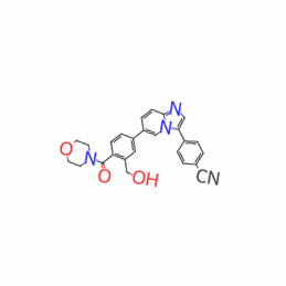 N#Cc1ccc(-c2cnc3ccc(-c4ccc(C(=O)N5CCOCC5)c(CO)c4)cn23)cc1